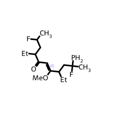 CCC(CC(C)F)C(=O)/C=C(\OC)C(CC)CC(C)(F)P